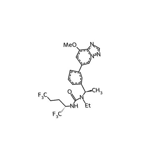 CCN(C(=O)N[C@@H](CCC(F)(F)F)C(F)(F)F)[C@H](C)c1cccc(-c2cc(OC)c3ncnn3c2)c1